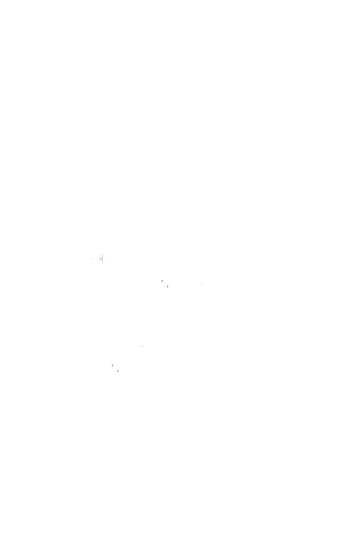 CC1CCC2(CC1)CN(C(C(N)=O)C(C)O)C2=O